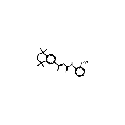 CC(=CC(=O)Nc1ccccc1C(=O)O)c1ccc2c(c1)C(C)(C)CCC2(C)C